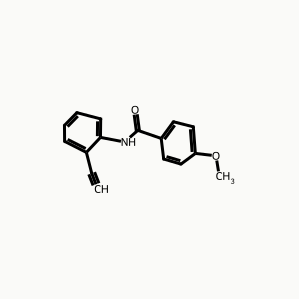 C#Cc1ccccc1NC(=O)c1ccc(OC)cc1